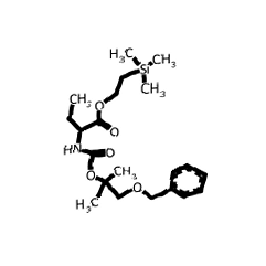 CCC(NC(=O)OC(C)(C)COCc1ccccc1)C(=O)OCC[Si](C)(C)C